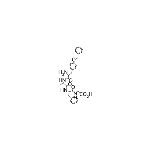 C[C@@H](NC(=O)[C@@H](N)Cc1ccc(OCc2ccccc2)cc1)C(=O)N[C@@H](Cc1ccccc1)C(=O)NCC(=O)O